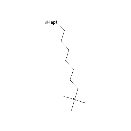 CCCCCCCCCCCCCC[Si](C)(C)C